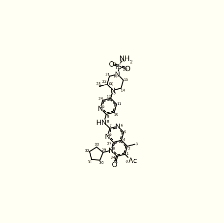 CC(=O)c1c(C)c2cnc(Nc3ccc(N4CCN(S(N)(=O)=O)C[C@@H]4C)cn3)nc2n(C2CCCC2)c1=O